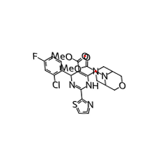 COC(=O)C1=C(CN2C3COCC2CN(C(=O)OC)C3)NC(c2nccs2)=NC1c1ccc(F)cc1Cl